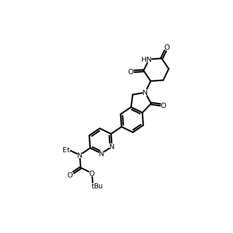 CCN(C(=O)OC(C)(C)C)c1ccc(-c2ccc3c(c2)CN(C2CCC(=O)NC2=O)C3=O)nn1